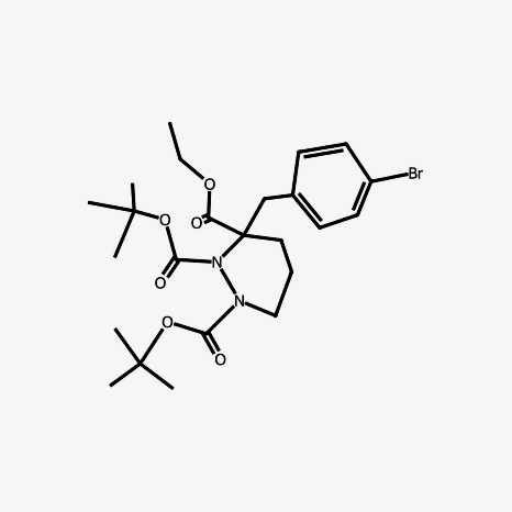 CCOC(=O)C1(Cc2ccc(Br)cc2)CCCN(C(=O)OC(C)(C)C)N1C(=O)OC(C)(C)C